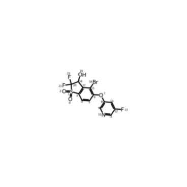 O=S1(=O)c2ccc(Oc3cncc(F)c3)c(Br)c2C(O)C1(F)F